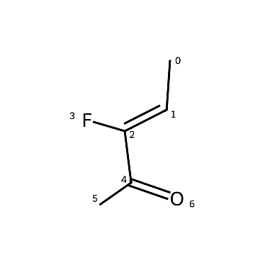 C/C=C(\F)C(C)=O